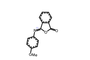 COc1ccc(/N=C2\OC(=O)c3ccccc32)cc1